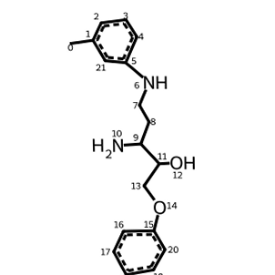 Cc1cccc(NCCC(N)C(O)COc2ccccc2)c1